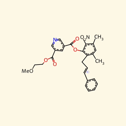 COCCOC(=O)c1cncc(C(=O)Oc2c(C/C=C/c3ccccc3)c(C)cc(C)c2[N+](=O)[O-])c1